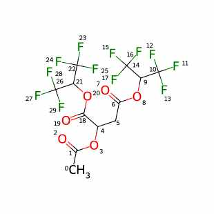 CC(=O)OC(CC(=O)OC(C(F)(F)F)C(F)(F)F)C(=O)OC(C(F)(F)F)C(F)(F)F